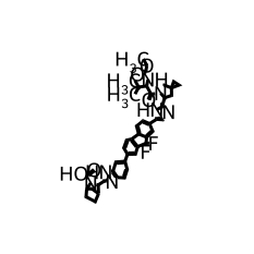 COC(=O)NC(C(=O)N1CC2(CC2)CC1c1ncc(-c2ccc3c(c2)C(F)(F)c2cc(-c4ccc5nc(C6C7CCC(C7)N6C(=O)O)[nH]c5c4)ccc2-3)[nH]1)C(C)C